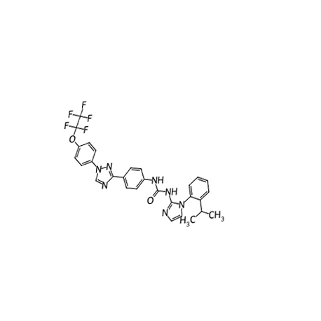 CC(C)c1ccccc1-n1ccnc1NC(=O)Nc1ccc(-c2ncn(-c3ccc(OC(F)(F)C(F)(F)F)cc3)n2)cc1